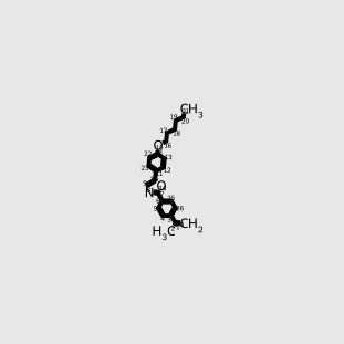 C=C(C)c1ccc(-c2ncc(-c3ccc(OCCCCCC)cc3)o2)cc1